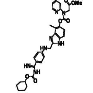 COC(=O)CN(C(=O)Oc1ccc2[nH]c(CNc3ccc(C(=N)NC(=O)OC4CCCCC4)cc3)nc2c1C)c1ccccn1